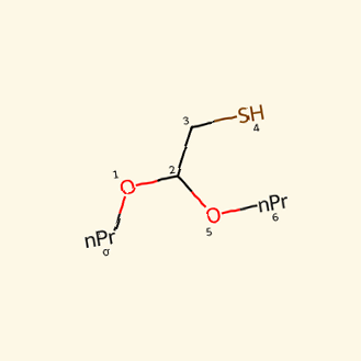 CCCOC(CS)OCCC